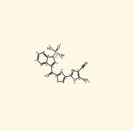 N#Cc1nc(-c2csc(C(=O)c3cn(P(=O)(O)O)c4ccccc34)n2)oc1N